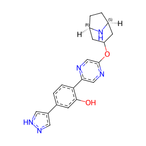 Oc1cc(-c2cn[nH]c2)ccc1-c1cnc(OC2C[C@H]3CC[C@@H](C2)N3)cn1